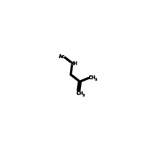 C=C(C)CNC(C)=O